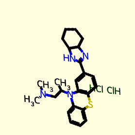 CC(CN(C)C)N1c2ccccc2Sc2ccc(C3=NC4CCCCC4N3)cc21.Cl.Cl